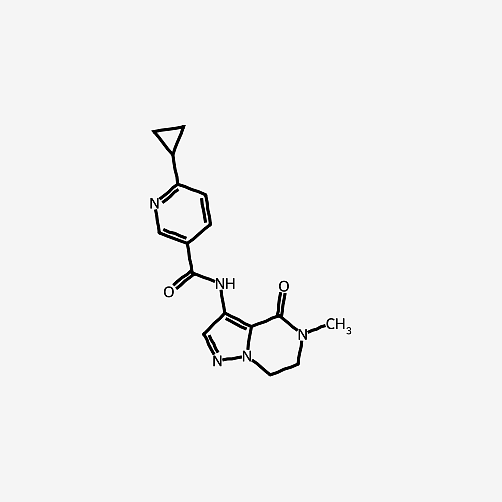 CN1CCn2ncc(NC(=O)c3ccc(C4CC4)nc3)c2C1=O